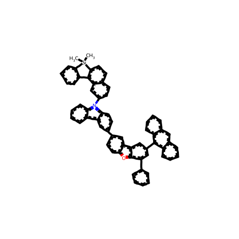 C[Si]1(C)c2ccccc2-c2c1ccc1ccc(-n3c4ccccc4c4cc(-c5ccc6oc7c(-c8ccccc8)cc(-c8c9ccccc9cc9ccccc89)cc7c6c5)ccc43)cc21